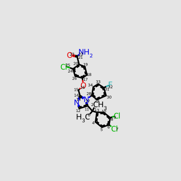 CC(C)(c1ccc(Cl)c(Cl)c1)c1cnc(COc2ccc(C(N)=O)c(Cl)c2)n1-c1ccc(F)cc1